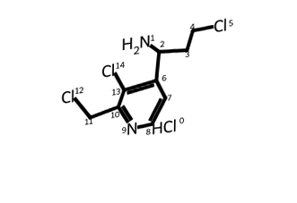 Cl.NC(CCCl)c1ccnc(CCl)c1Cl